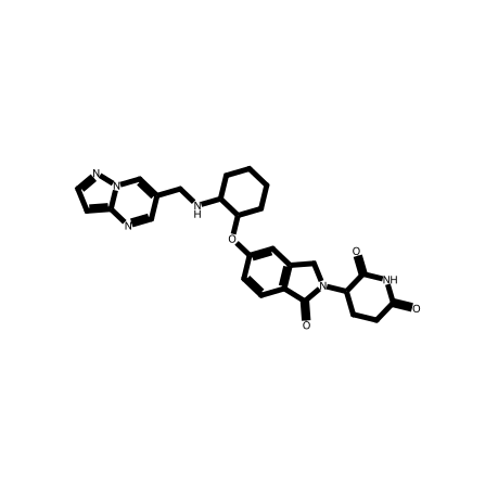 O=C1CCC(N2Cc3cc(OC4CCCCC4NCc4cnc5ccnn5c4)ccc3C2=O)C(=O)N1